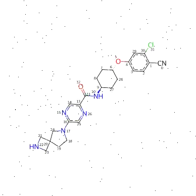 N#Cc1ccc(O[C@H]2CC[C@H](NC(=O)c3cnc(N4CCC5(CNC5)C4)cn3)CC2)cc1Cl